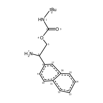 CC(C)(C)NC(=O)OCC(N)c1ccc2ccccc2c1